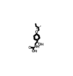 CC[C@H](C)COc1ccc([C@H](O)CNC(=O)O)cc1